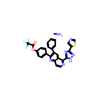 CN.O=C(Oc1ccc(-c2nc3ccnc(-c4nc(-c5cncs5)n[nH]4)c3cc2-c2ccccc2)cc1)C(F)(F)F